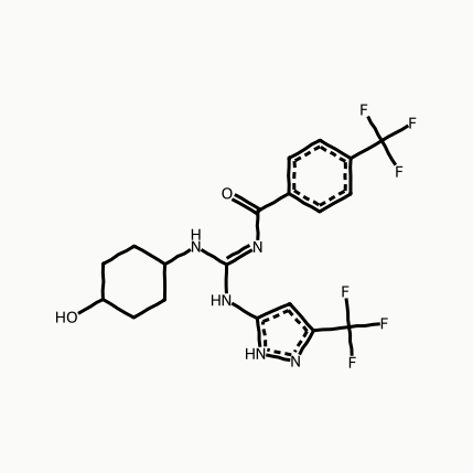 O=C(/N=C(/Nc1cc(C(F)(F)F)n[nH]1)NC1CCC(O)CC1)c1ccc(C(F)(F)F)cc1